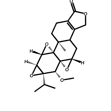 CO[C@@H]1[C@@]2(C(C)C)O[C@H]2[C@@H]2O[C@]23[C@]12O[C@H]2CC1C2=C(CC[C@@]13C)C(=O)OC2